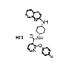 Cl.O=C(NC1CCC(Nc2ccc3ccccc3n2)CC1)c1cccnc1Oc1ccc(F)cc1